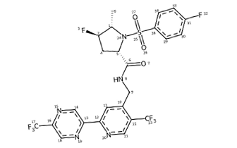 C[C@H]1[C@H](F)C[C@@H](C(=O)NCc2cc(-c3cnc(C(F)(F)F)cn3)ncc2C(F)(F)F)N1S(=O)(=O)c1ccc(F)cc1